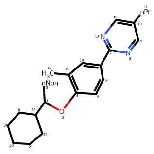 CCCCCCCCCC(Oc1ccc(-c2ncc(CCC)cn2)cc1C)C1CCCCC1